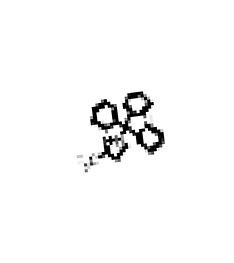 FC(F)(F)c1ccn(C(c2ccccc2)(c2ccccc2)c2ccccc2Cl)n1